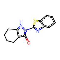 O=c1c2c([nH]n1-c1nc3ccccc3s1)CCCC2